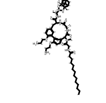 CCCCCCCCCCCCCC(=O)NCC(=O)N(C)C1C(=O)N[C@@H](C)C(=O)NC(C(=O)N[C@@H](C)B2O[C@@H]3CC4CC(C4(C)C)[C@]3(C)O2)Cc2ccc(OCCN)c(c2)-c2cc1ccc2OCCN